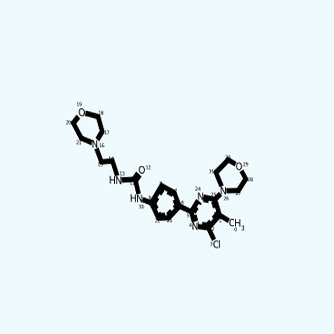 Cc1c(Cl)nc(-c2ccc(NC(=O)NCCN3CCOCC3)cc2)nc1N1CCOCC1